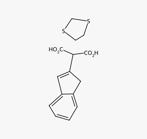 C1CSCS1.O=C(O)C(C(=O)O)C1=Cc2ccccc2C1